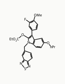 CCCOc1ccc2c(c1)c(-c1ccc(OC)c(F)c1)c(OC(=O)OCC)n2Cc1ccc2nsnc2c1